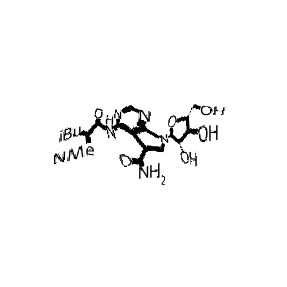 CCC(C)C(NC)C(=O)Nc1ncnc2c1c(C(N)=O)cn2[C@@H]1O[C@H](CO)C(O)[C@@H]1O